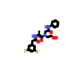 C[C@H](NC(=O)Cc1cc(F)cc(F)c1)C(=O)N(CCO)CC(=O)Nc1ccccc1